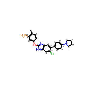 Cc1ccc(Oc2nc3cc(-c4ccc(N5CCCC5)cc4)c(Cl)cc3[nH]2)cc1P